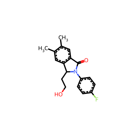 Cc1cc2c(cc1C)C(CCO)N(c1ccc(F)cc1)C2=O